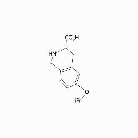 CC(C)Oc1ccc2c(c1)CC(C(=O)O)NC2